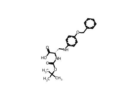 CC(C)(C)OC(=O)N[C@@H](CNc1ccc(OCc2ccccc2)cc1)C(=O)O